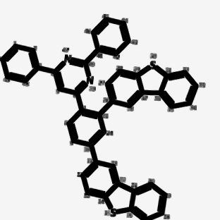 c1ccc(-c2cc(-c3ccc(-c4ccc5sc6ccccc6c5c4)cc3-c3ccc4sc5ccccc5c4c3)nc(-c3ccccc3)n2)cc1